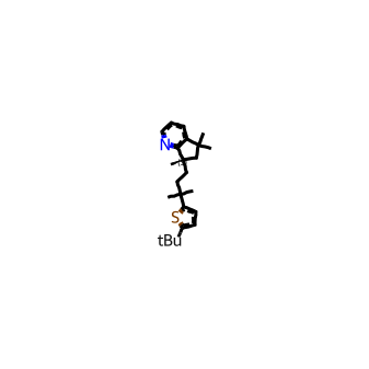 CC(C)(C)c1ccc(C(C)(C)CC[C@@]2(C)CC(C)(C)c3cccnc32)s1